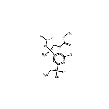 CC(C)(C)OC(=O)N1C[C@@](C)(N[S+]([O-])C(C)(C)C)c2cc([C@](O)(CN)C(F)(F)F)nc(Cl)c21